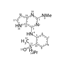 CNc1nc(Nc2ccccc2[SH](C)(=O)C(C)C)c2[nH]ccc2n1